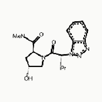 CNC(=O)[C@@H]1C[C@@H](O)CN1C(=O)[C@@H](C(C)C)n1nnc2ccccc21